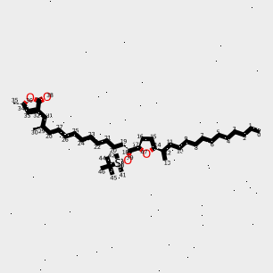 CCCCCCCCCCCCC(C)[C@@H]1CC[C@H]([C@@H](CCCCCCCCCC[C@@H](C)CC2=C[C@H](C)OC2=O)O[Si](C)(C)C(C)(C)C)O1